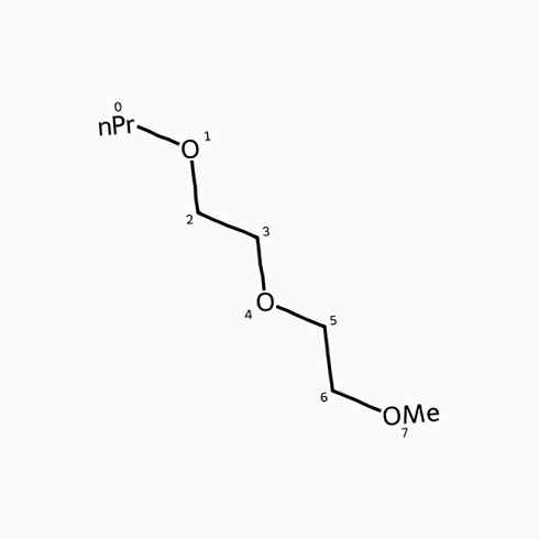 [CH2]CCOCCOCCOC